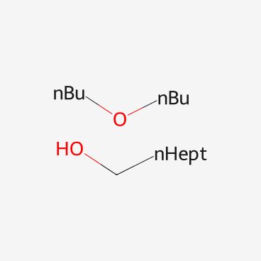 CCCCCCCCO.CCCCOCCCC